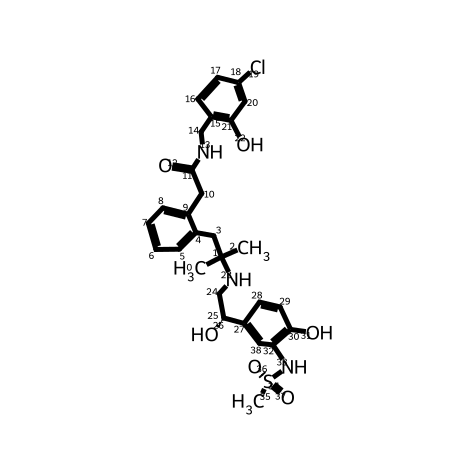 CC(C)(Cc1ccccc1CC(=O)NCc1ccc(Cl)cc1O)NC[C@@H](O)c1ccc(O)c(NS(C)(=O)=O)c1